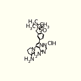 CC(C)(C)N1Cc2cc(-c3cc(N4CCCC(N)C4)c4c(N)ncnn34)ccc2S1(=O)=O.Cl